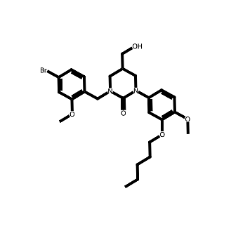 CCCCCOc1cc(N2CC(CO)CN(Cc3ccc(Br)cc3OC)C2=O)ccc1OC